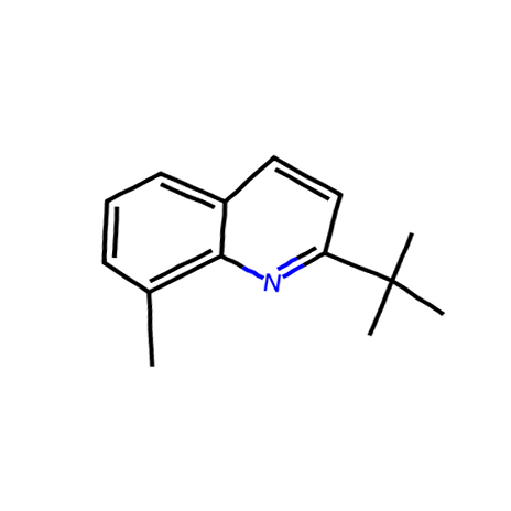 Cc1cccc2ccc(C(C)(C)C)nc12